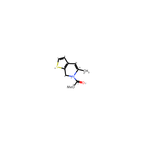 COC(=O)N1Cc2sccc2C=C1C